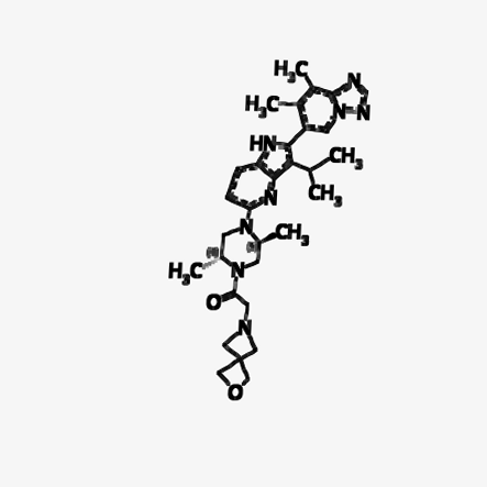 Cc1c(-c2[nH]c3ccc(N4C[C@@H](C)N(C(=O)CN5CC6(COC6)C5)C[C@@H]4C)nc3c2C(C)C)cn2ncnc2c1C